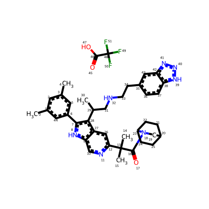 Cc1cc(C)cc(-c2[nH]c3cnc(C(C)(C)C(=O)N4CC5CCC4CC5)cc3c2C(C)CNCCc2ccc3[nH]nnc3c2)c1.O=C(O)C(F)(F)F